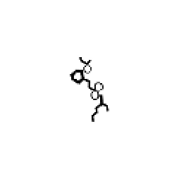 CCCCC(CC)COC(=O)C=Cc1ccccc1OC(C)CC